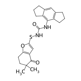 CC1(C)CCc2oc(SNC(=O)Nc3c4c(cc5c3CCC5)CCC4)cc2C1=O